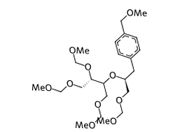 COCOCC(O[C@H](COCOC)Cc1ccc(COC)cc1)[C@H](COCOC)OCOC